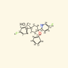 O=C(O)C1(c2ccc(F)cc2)CCC(Oc2ccccc2)(c2ccc(F)cn2)CC1